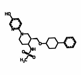 CS(=O)(=O)NC1CCN(c2ccc(O)cn2)C[C@H]1COC1CCC(c2ccccc2)CC1